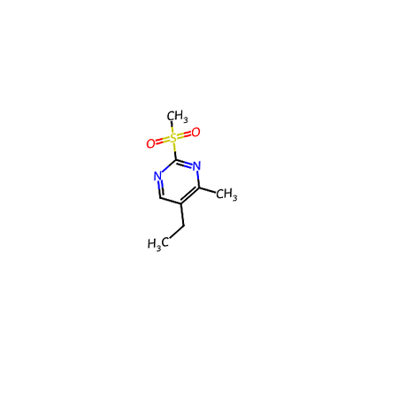 CCc1cnc(S(C)(=O)=O)nc1C